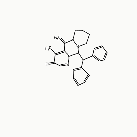 C=C1c2c(C)c(=O)cnn2C(C(c2ccccc2)c2ccccc2)N2CCCCN12